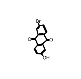 O=C1c2ccc(Br)cc2C(=O)c2ccc(O)cc21